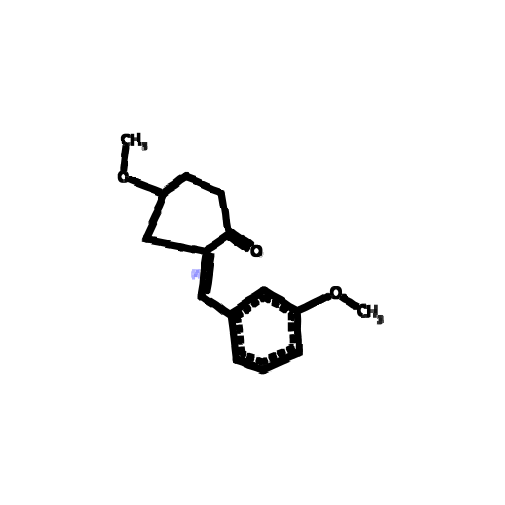 COc1cccc(/C=C2/CC(OC)CCC2=O)c1